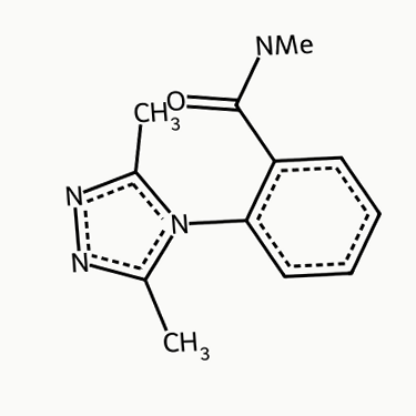 CNC(=O)c1ccccc1-n1c(C)nnc1C